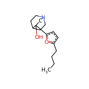 CCCCc1ccc(C2(O)CN3CCC2CC3)o1